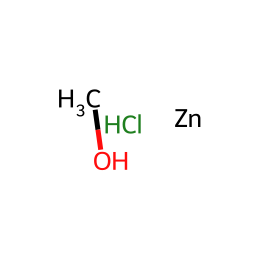 CO.Cl.[Zn]